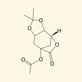 CC(=O)OC12CC3OC(C)(C)OC3[C@@H](C1)OC2=O